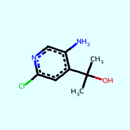 CC(C)(O)c1cc(Cl)ncc1N